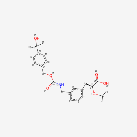 CC(C)O[C@@H](Cc1cccc(CNC(=O)OCc2ccc(C(C)(C)O)cc2)c1)C(=O)O